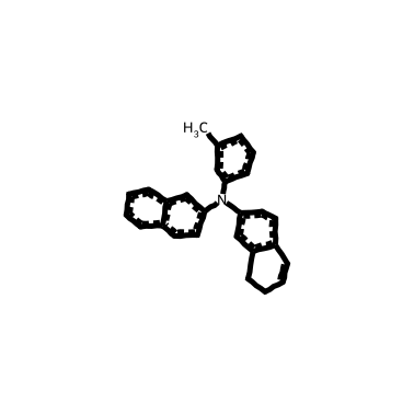 Cc1cccc(N(c2ccc3c(c2)CCC=C3)c2ccc3ccccc3c2)c1